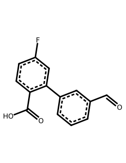 O=Cc1cccc(-c2cc(F)ccc2C(=O)O)c1